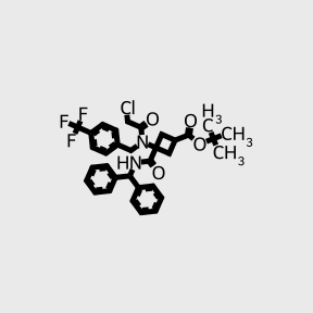 CC(C)(C)OC(=O)C1CC(C(=O)NC(c2ccccc2)c2ccccc2)(N(Cc2ccc(C(F)(F)F)cc2)C(=O)CCl)C1